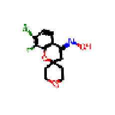 O/N=C1\CC2(CCOCC2)Oc2c1ccc(Br)c2F